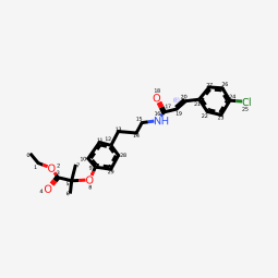 CCOC(=O)C(C)(C)Oc1ccc(CCCNC(=O)/C=C/c2ccc(Cl)cc2)cc1